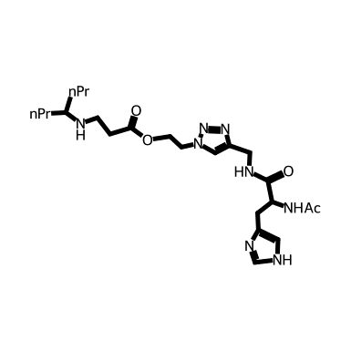 CCCC(CCC)NCCC(=O)OCCn1cc(CNC(=O)C(Cc2c[nH]cn2)NC(C)=O)nn1